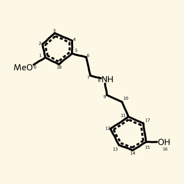 COc1cccc(CCNCCc2cccc(O)c2)c1